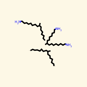 CC(CCCCCCCN)CCCCCCCCN.[CH2]CCCCCCC(C)CCCCCCCCN.[CH2]CCCCCCCC(C)CCCCCC[CH2]